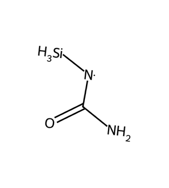 NC(=O)[N][SiH3]